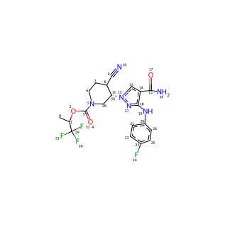 CC(OC(=O)N1CCC(C#N)[C@H](n2cc(C(N)=O)c(Nc3ccc(F)cc3)n2)C1)C(F)(F)F